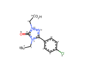 CC(C)(C)Cn1c(-c2ccc(Cl)cc2)nn(CC(=O)O)c1=O